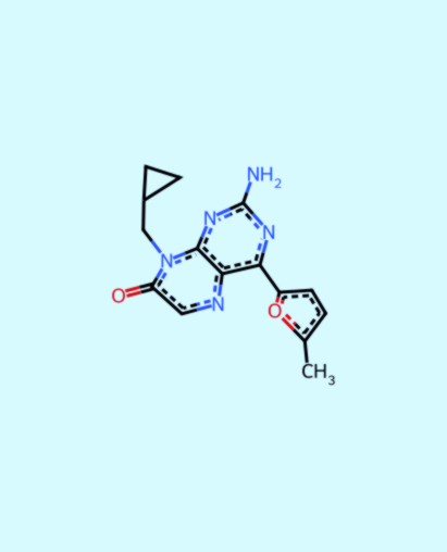 Cc1ccc(-c2nc(N)nc3c2ncc(=O)n3CC2CC2)o1